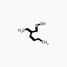 C/C=C(\C=C/CC)/C=N/O